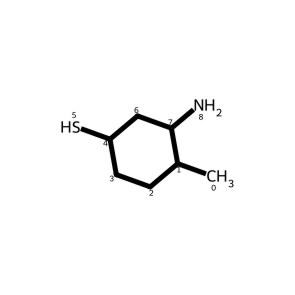 CC1CCC(S)CC1N